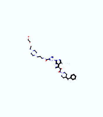 CCOCCOCCN1CCN(CCCNC(=O)c2ncn(-c3ncc(OC)c4c(C(=O)C(=O)N5CCC(=C(C#N)c6ccccc6)CC5)c[nH]c34)n2)CC1